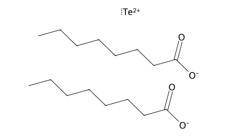 CCCCCCCC(=O)[O-].CCCCCCCC(=O)[O-].[Te+2]